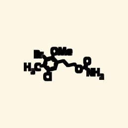 COc1c(CCCOC(N)=O)cc(Cl)c(C)c1Br